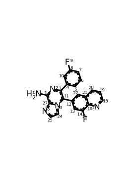 Nc1nc(-c2cccc(F)c2)c(-c2cc(F)c3ncccc3c2)n2ccnc12